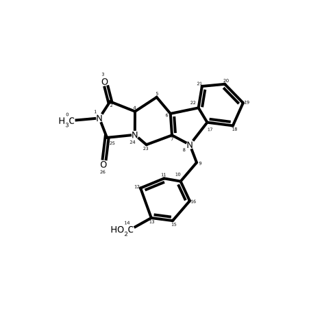 CN1C(=O)C2Cc3c(n(Cc4ccc(C(=O)O)cc4)c4ccccc34)CN2C1=O